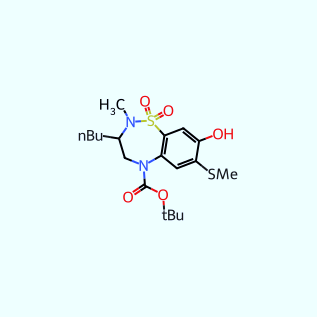 CCCCC1CN(C(=O)OC(C)(C)C)c2cc(SC)c(O)cc2S(=O)(=O)N1C